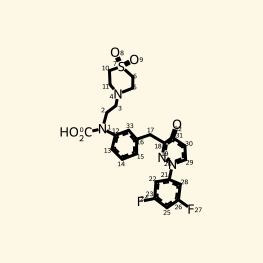 O=C(O)N(CCN1CCS(=O)(=O)CC1)c1cccc(Cc2nn(-c3cc(F)cc(F)c3)ccc2=O)c1